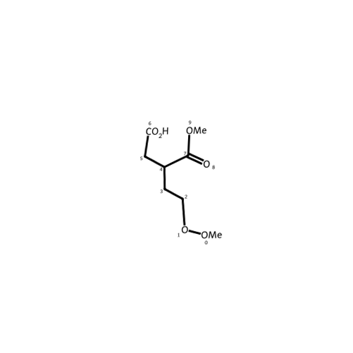 COOCCC(CC(=O)O)C(=O)OC